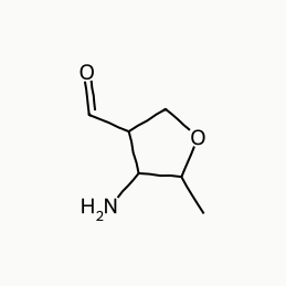 CC1OCC(C=O)C1N